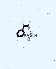 FC(F)=C(F)c1ccccc1.O=S(=O)(O)O